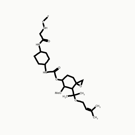 COC1C(OC(=O)NC2CCC(NC(=O)CNSF)CC2)CCC2(CO2)C1C(C)(C)OCC=C(C)C